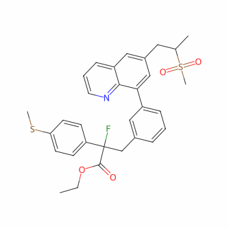 CCOC(=O)C(F)(Cc1cccc(-c2cc(CC(C)S(C)(=O)=O)cc3cccnc23)c1)c1ccc(SC)cc1